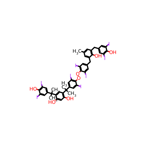 Cc1cc(Cc2cc(I)c(O)c(I)c2)c(O)c(Cc2cc(I)c(OOc3c(I)cc(C(C)(C)c4cc(C(C)(C)c5cc(I)c(O)c(I)c5)c(O)cc4O)cc3I)c(I)c2)c1